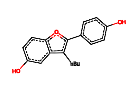 CCCCc1c(-c2ccc(O)cc2)oc2ccc(O)cc12